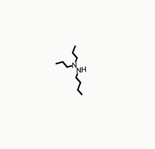 CCCCNN(CCC)CCC